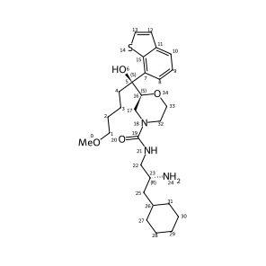 COCCCC[C@](O)(c1cccc2ccsc12)[C@@H]1CN(C(=O)NC[C@H](N)CC2CCCCC2)CCO1